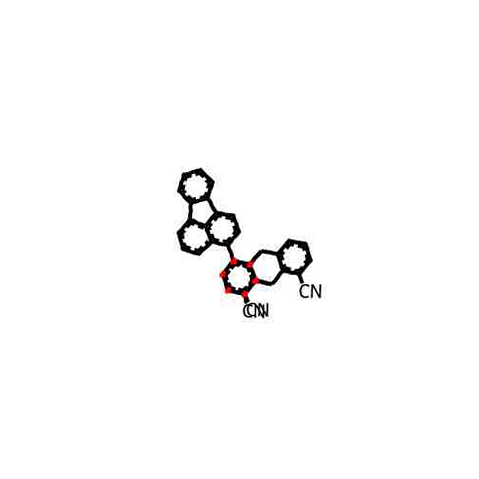 N#Cc1cccc2c1C1c3c(C#N)cccc3C2c2c(-c3ccc4c5c(cccc35)-c3ccccc3-4)ccc(C#N)c21